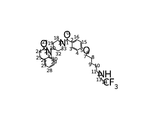 O=C(c1ccc(OCCCCCNCC(F)(F)F)cc1)N1CCC(N2C(=O)CCc3ccccc32)CC1